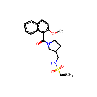 C=CS(=O)(=O)NCC1CCN(C(=O)c2c(OCC)ccc3ccccc23)C1